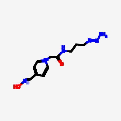 NN=NCCCNC(=O)C[n+]1ccc(/C=N/O)cc1